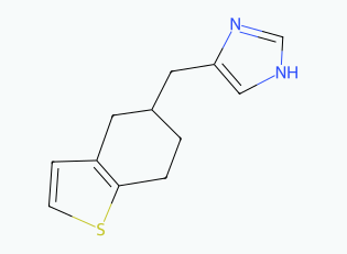 c1nc(CC2CCc3sccc3C2)c[nH]1